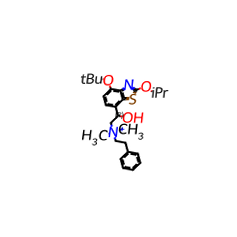 CC(C)Oc1nc2c(OC(C)(C)C)ccc([C@@H](O)C[N+](C)(C)CCc3ccccc3)c2s1